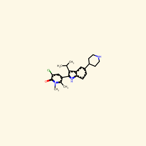 Cc1c(-c2[nH]c3ccc(C4CCNCC4)cc3c2C(C)C)cc(Cl)c(=O)n1C